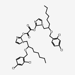 CCCCCCC(Cn1ccnc1OC(=O)C(=O)Oc1nccn1CC(CCCCCC)OCc1ccc(Cl)cc1Cl)OCc1ccc(Cl)cc1Cl